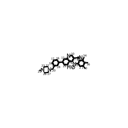 Cc1cc(N(O)c2c(C#N)cnc3cc(-c4cccc(CN5CCN(C)CC5)c4)ccc23)cc(C)c1C